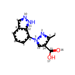 Cc1nn(-c2cccc3cn[nH]c23)cc1C(=O)O